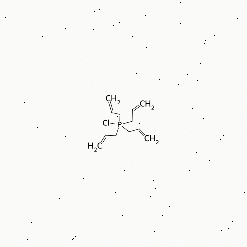 C=CCP(Cl)(CC=C)(CC=C)CC=C